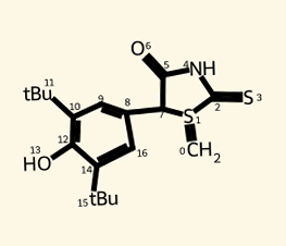 C=S1C(=S)NC(=O)C1c1cc(C(C)(C)C)c(O)c(C(C)(C)C)c1